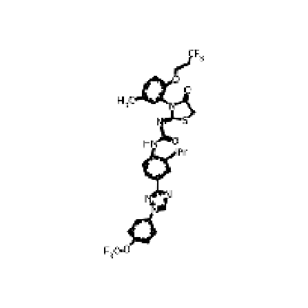 Cc1ccc(OCCC(F)(F)F)c(N2C(=O)CS/C2=N\C(=O)Nc2ccc(-c3ncn(-c4ccc(OC(F)(F)F)cc4)n3)cc2C(C)C)c1